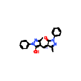 CC1=NN(c2ccccc2)C(=O)/C1=C\c1c(C)nn(-c2ccccc2)c1O